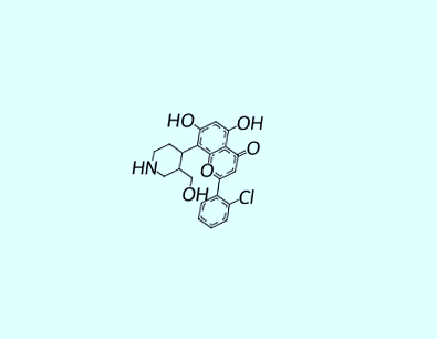 O=c1cc(-c2ccccc2Cl)oc2c(C3CCNCC3CO)c(O)cc(O)c12